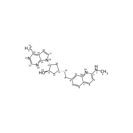 CNc1ccc2ccc(CC[C@@H]3C[C@@H](O)[C@H](n4ccc5c(C)ncnc54)C3)cc2n1